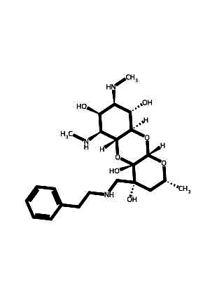 CN[C@@H]1[C@H](O)[C@H](NC)[C@H]2O[C@]3(O)[C@H](O[C@@H]2[C@H]1O)O[C@H](C)C[C@@]3(O)CNCCc1ccccc1